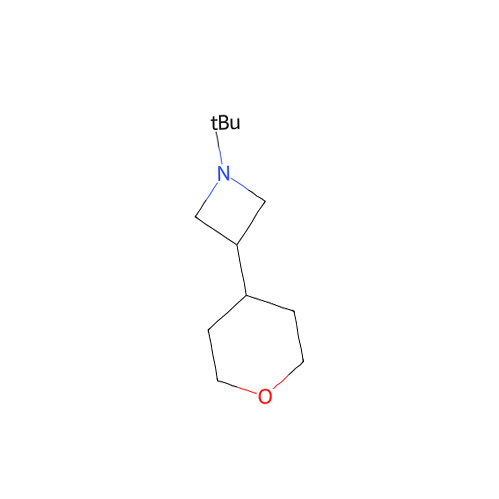 CC(C)(C)N1CC(C2CCOCC2)C1